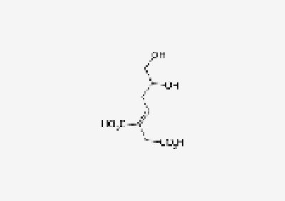 O=C(O)CC(=CCC(O)CO)C(=O)O